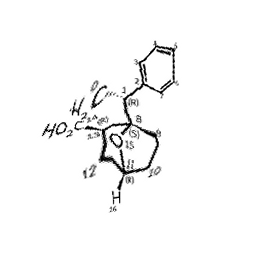 [CH2][C@H](c1ccccc1)[C@@]12CC[C@H](C[C@H]1C(=O)O)O2